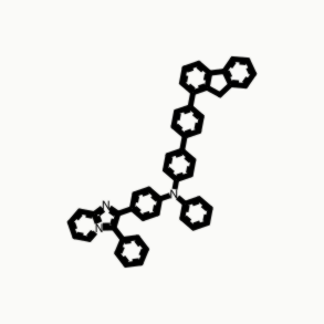 c1ccc(-c2c(-c3ccc(N(c4ccccc4)c4ccc(-c5ccc(-c6cccc7c6Cc6ccccc6-7)cc5)cc4)cc3)nc3ccccn23)cc1